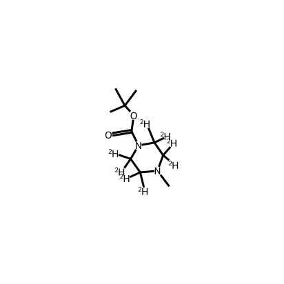 [2H]C1([2H])N(C)C([2H])([2H])C([2H])([2H])N(C(=O)OC(C)(C)C)C1([2H])[2H]